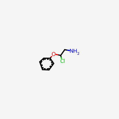 NCC(Cl)Oc1ccccc1